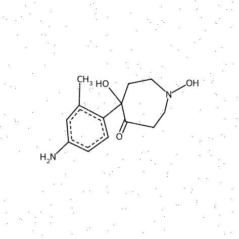 Cc1cc(N)ccc1C1(O)CCN(O)CCC1=O